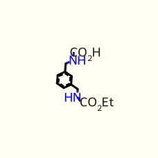 CCOC(=O)NCc1cccc(CNC(=O)O)c1